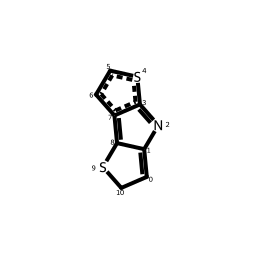 C1=C2N=c3sccc3=C2SC1